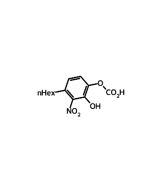 CCCCCCc1ccc(OC(=O)O)c(O)c1[N+](=O)[O-]